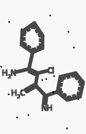 C=C(C(=N)c1ccccc1)/C(Cl)=C(\N)c1ccccc1